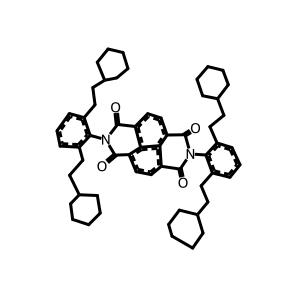 O=C1c2ccc3c4c(ccc(c24)C(=O)N1c1c(CCC2CCCCC2)cccc1CCC1CCCCC1)C(=O)N(c1c(CCC2CCCCC2)cccc1CCC1CCCCC1)C3=O